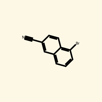 N#Cc1ccc2c(Br)cccc2c1